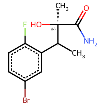 C[C](c1cc(Br)ccc1F)[C@@](C)(O)C(N)=O